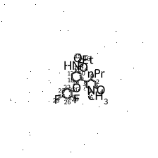 CCCc1cc(=O)n(C)cc1-c1cc(NS(=O)(=O)CC)ccc1Oc1ccc(F)cc1F